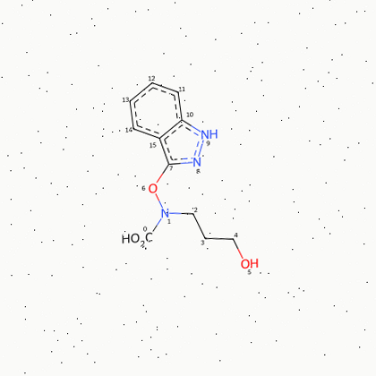 O=C(O)N(CCCO)Oc1n[nH]c2ccccc12